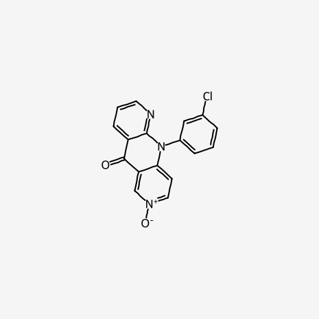 O=c1c2c[n+]([O-])ccc2n(-c2cccc(Cl)c2)c2ncccc12